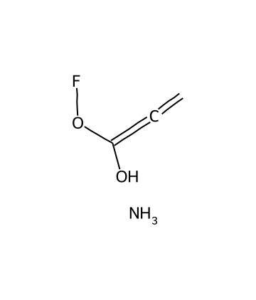 C=C=C(O)OF.N